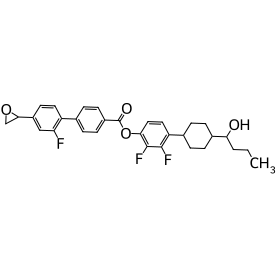 CCCC(O)C1CCC(c2ccc(OC(=O)c3ccc(-c4ccc(C5CO5)cc4F)cc3)c(F)c2F)CC1